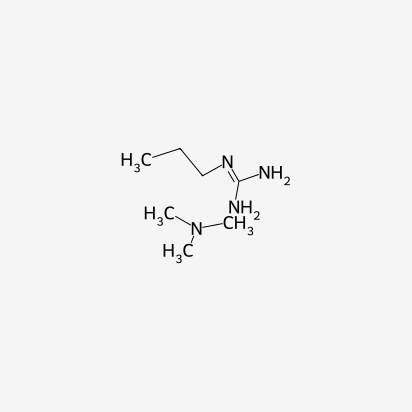 CCCN=C(N)N.CN(C)C